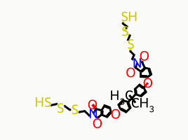 CC(C)(c1ccc(Oc2ccc3c(c2)C(=O)N(CCCSCCSCCS)C3=O)cc1)c1ccc(Oc2ccc3c(c2)C(=O)N(CCCSCCSCCS)C3=O)cc1